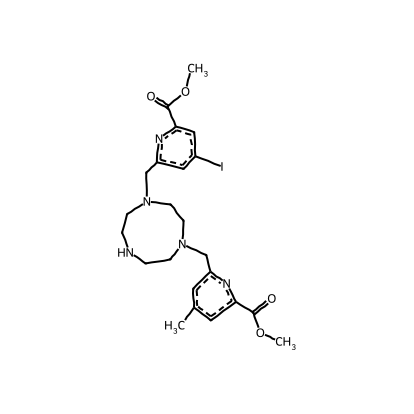 COC(=O)c1cc(C)cc(CN2CCNCCN(Cc3cc(I)cc(C(=O)OC)n3)CC2)n1